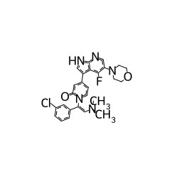 CN(C)/C=C(/c1cccc(Cl)c1)n1ccc(-c2c[nH]c3ncc(N4CCOCC4)c(F)c23)cc1=O